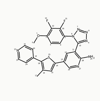 COc1ccc(-n2nnnc2-c2cc(-c3cc(C)c(-c4ccncc4)s3)cnc2N)c(F)c1F